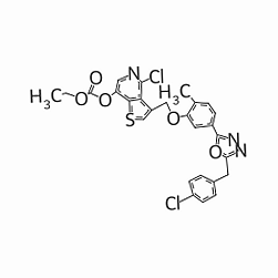 CCOC(=O)Oc1cnc(Cl)c2c(COc3cc(-c4nnc(Cc5ccc(Cl)cc5)o4)ccc3C)csc12